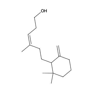 C=C1CCCC(C)(C)C1CC/C(C)=C\CCO